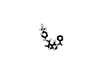 Cc1oc2ncn(C(C)c3ccccc3)c(=O)c2c1C(=O)Nc1ccc(S(N)(=O)=O)nc1